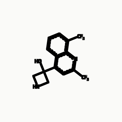 OC1(c2cc(C(F)(F)F)nc3c(C(F)(F)F)cccc23)CNC1